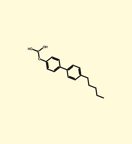 CCCCCc1ccc(-c2ccc(OB(O)O)cc2)cc1